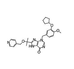 COc1ccc(Cn2cnc(=O)c3[nH]c(C(C)(C)OCc4ccncc4)nc32)cc1OC1CCCC1